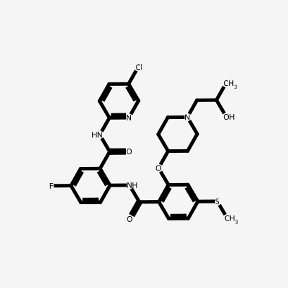 CSc1ccc(C(=O)Nc2ccc(F)cc2C(=O)Nc2ccc(Cl)cn2)c(OC2CCN(CC(C)O)CC2)c1